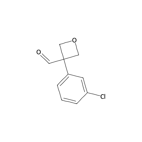 O=CC1(c2cccc(Cl)c2)COC1